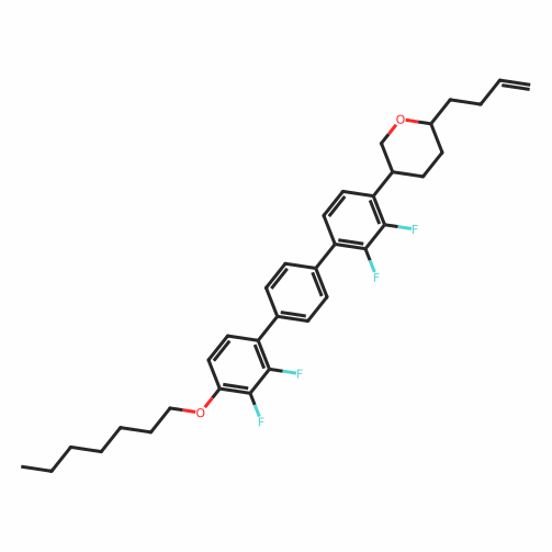 C=CCCC1CCC(c2ccc(-c3ccc(-c4ccc(OCCCCCCC)c(F)c4F)cc3)c(F)c2F)CO1